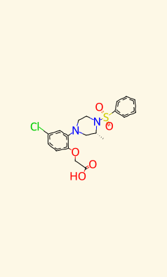 C[C@@H]1CN(c2cc(Cl)ccc2OCC(=O)O)CCN1S(=O)(=O)c1ccccc1